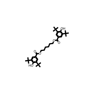 CC(C)(C)c1cc(C(=O)OCCCCCCOC(=O)c2cc(C(C)(C)C)c(O)c(C(C)(C)C)c2)cc(C(C)(C)C)c1O